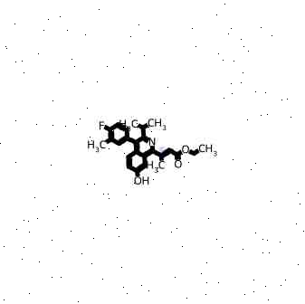 CCOC(=O)/C=C(\C)c1nc(C(C)C)c(-c2ccc(F)c(C)c2)c2ccc(O)cc12